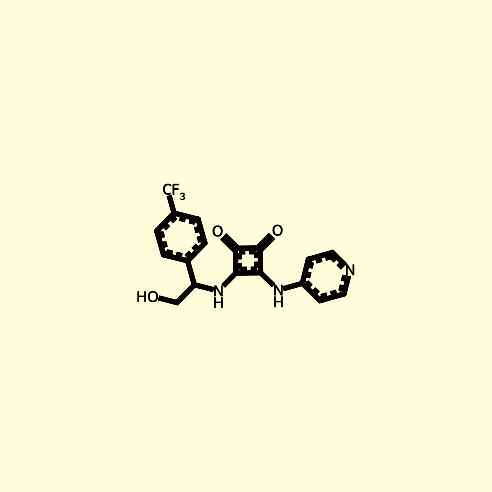 O=c1c(Nc2ccncc2)c(NC(CO)c2ccc(C(F)(F)F)cc2)c1=O